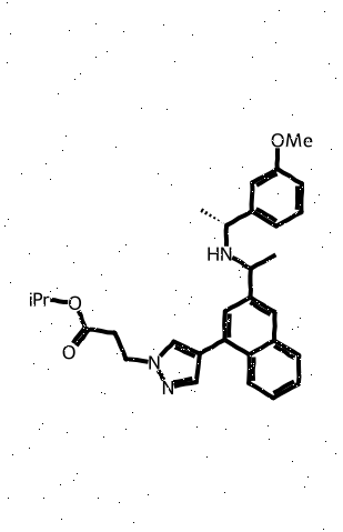 COc1cccc([C@@H](C)NC(C)c2cc(-c3cnn(CCC(=O)OC(C)C)c3)c3ccccc3c2)c1